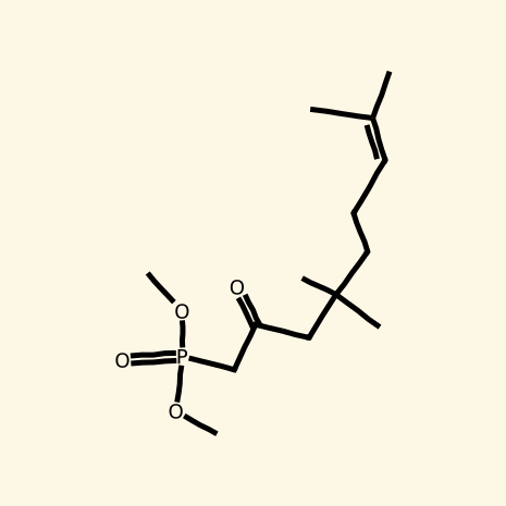 COP(=O)(CC(=O)CC(C)(C)CCC=C(C)C)OC